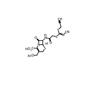 C#CCSC(=NC#N)SCC(=O)N[C@@H]1C(=O)N2C(C(=O)O)=C(COC(C)=O)CS[C@H]12